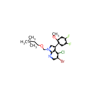 COc1cc(F)c(F)cc1-c1cn(COCC[Si](C)(C)C)c2ncc(Br)c(Cl)c12